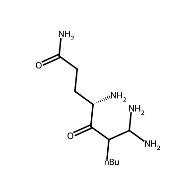 CCCCC(C(=O)[C@@H](N)CCC(N)=O)C(N)N